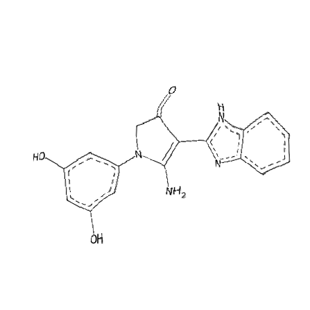 NC1=C(c2nc3ccccc3[nH]2)C(=O)CN1c1cc(O)cc(O)c1